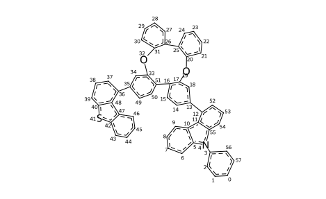 c1ccc(-n2c3ccccc3c3c(-c4ccc5c(c4)Oc4ccccc4-c4ccccc4Oc4cc(-c6cccc7sc8ccccc8c67)ccc4-5)cccc32)cc1